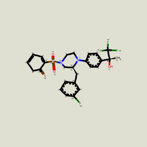 C[C@@](O)(c1ccc(N2CCN(S(=O)(=O)C3=CC=CCC3=S)C[C@@H]2Cc2cccc(F)c2)cc1)C(F)(F)F